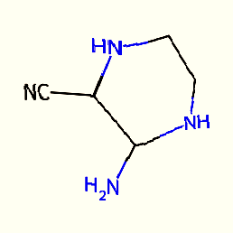 N#CC1NCCNC1N